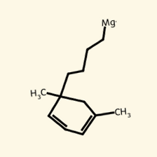 CC1=CC=CC(C)(CCC[CH2][Mg])C1